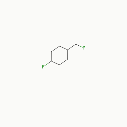 FCC1CCC(F)CC1